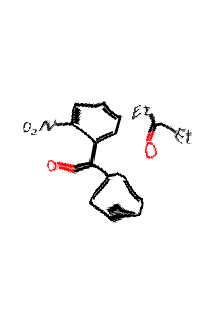 CCC(=O)CC.O=C(c1ccccc1)c1ccccc1[N+](=O)[O-]